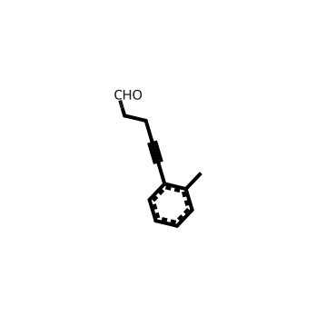 Cc1ccccc1C#CCCC=O